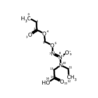 CCC(=O)OCON=[N+]([O-])N(CC)CC(=O)O